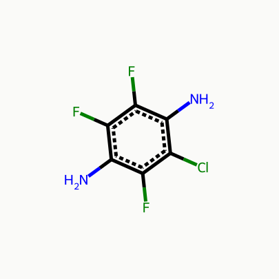 Nc1c(F)c(F)c(N)c(Cl)c1F